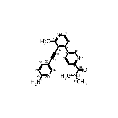 Cc1nccc(-c2ccc(C(=O)N(C)C)nc2)c1C#Cc1ccc(N)nc1